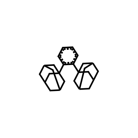 [c]1cccc(C23CC4CC(CC(C4)C2)C3)c1C12CC3CC(CC(C3)C1)C2